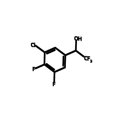 OC(c1cc(F)c(F)c(Cl)c1)C(F)(F)F